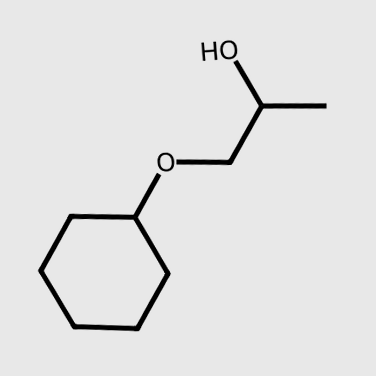 CC(O)COC1CCCCC1